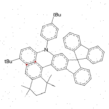 CC(C)(C)c1ccc(N(c2ccc(C(C)(C)C)cc2)c2cc3c(cc2-c2cccc4c2C(C)(C)CCC4(C)C)-c2ccccc2C32c3ccccc3-c3ccccc32)cc1